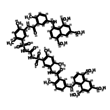 Cc1cc(C)c(S(=O)(=O)NC(=O)NS(=O)(=O)c2cc(NC(=O)c3cc(Nc4ccc(S(=O)(=O)O)c5cc(S(=O)(=O)O)cc(S(=O)(=O)O)c45)ccc3C)c(C)cc2C)cc1NC(=O)c1cc(Nc2ccc(S(=O)(=O)O)c3cc(S(=O)(=O)O)cc(S(=O)(=O)O)c23)ccc1C